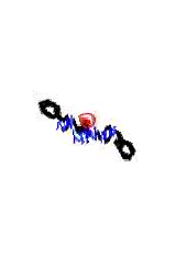 O=C(CCn1cnc(-c2ccccc2)c1)NCCN1CCN(Cc2ccccc2)CC1